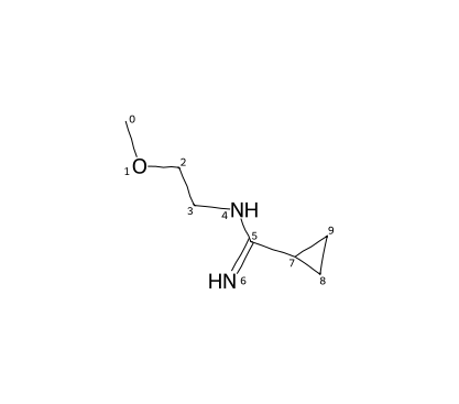 COCCNC(=N)C1CC1